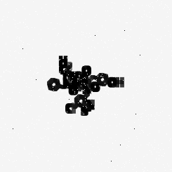 C=CCN1CC(=O)N2[C@@H](Cc3ccc(O)cc3)C(=O)N(Cc3ccc(Cl)c4scnc34)C[C@@H]2N1C(=O)NCc1ccccc1